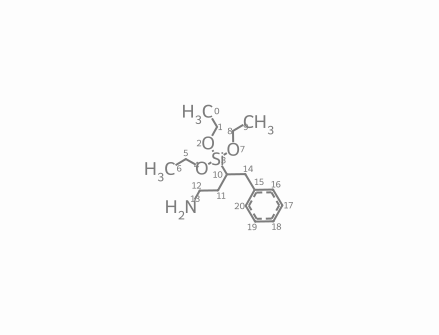 CCO[Si](OCC)(OCC)C(CCN)Cc1ccccc1